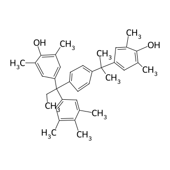 CCC(c1ccc(C(C)(C)c2cc(C)c(O)c(C)c2)cc1)(c1cc(C)c(C)c(C)c1)c1cc(C)c(O)c(C)c1